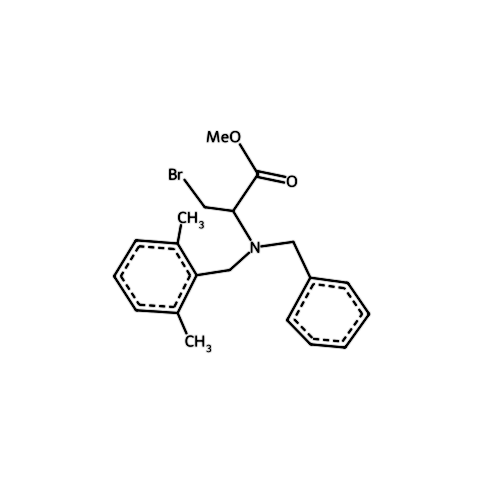 COC(=O)C(CBr)N(Cc1ccccc1)Cc1c(C)cccc1C